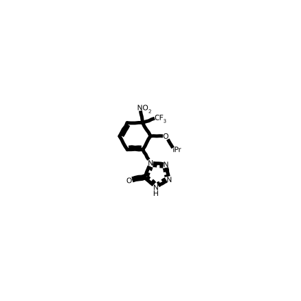 CC(C)OC1C(n2nn[nH]c2=O)=CC=CC1([N+](=O)[O-])C(F)(F)F